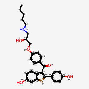 CCCCCNCC(O)COc1ccc(C(=O)c2c(-c3ccc(O)cc3)sc3cc(O)ccc23)cc1